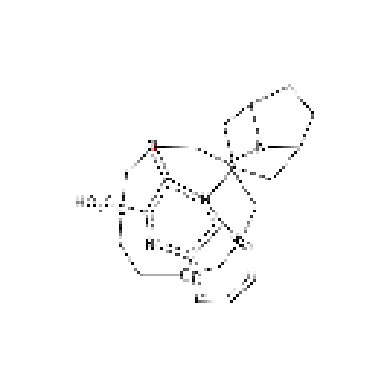 O=C(O)c1nc2ccccc2n(C2CC3CCC(C2)N3C2CCCCCCCCCC2)c1=O